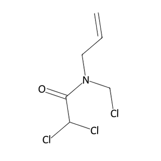 C=CCN(CCl)C(=O)C(Cl)Cl